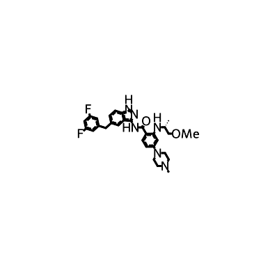 COC[C@@H](C)Nc1cc(N2CCN(C)CC2)ccc1C(=O)Nc1n[nH]c2ccc(Cc3cc(F)cc(F)c3)cc12